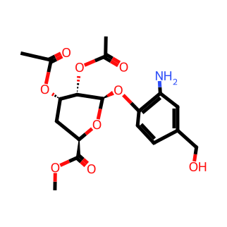 COC(=O)[C@H]1C[C@H](OC(C)=O)[C@H](OC(C)=O)[C@@H](Oc2ccc(CO)cc2N)O1